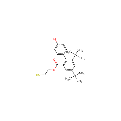 CC(C)(C)c1cc(C(=O)OCCS)c(-c2ccc(O)cc2)c(C(C)(C)C)c1